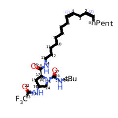 CCCCC/C=C\C/C=C\CCCCCCCCNC(=O)[C@@H]1C[C@H](NC(=O)C(F)(F)F)CN1C(=O)NC(C)(C)C